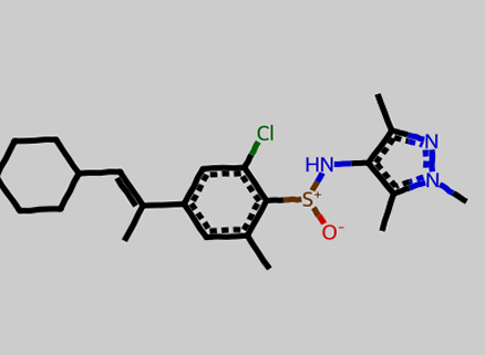 C/C(=C\C1CCCCC1)c1cc(C)c([S+]([O-])Nc2c(C)nn(C)c2C)c(Cl)c1